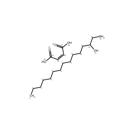 CCCCCCCCCCCCC(O)CN.O=C(O)/C=C\C(=O)O